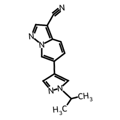 CC(C)n1cc(-c2ccc3c(C#N)cnn3c2)cn1